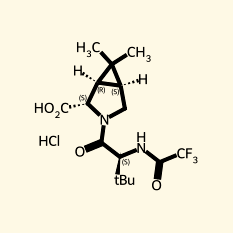 CC(C)(C)[C@H](NC(=O)C(F)(F)F)C(=O)N1C[C@H]2[C@@H]([C@H]1C(=O)O)C2(C)C.Cl